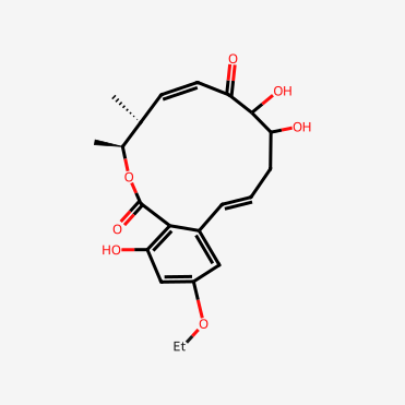 CCOc1cc(O)c2c(c1)/C=C/CC(O)C(O)C(=O)/C=C\[C@@H](C)[C@H](C)OC2=O